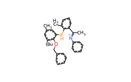 C/C(=N\c1ccccc1)c1cccc(C)c1Pc1cc(C)cc(C(C)(C)C)c1OCc1ccccc1